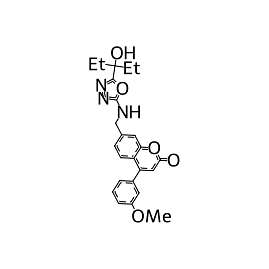 CCC(O)(CC)c1nnc(NCc2ccc3c(-c4cccc(OC)c4)cc(=O)oc3c2)o1